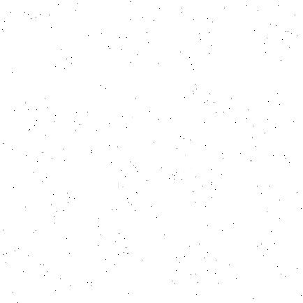 CC(C)(C)c1cccc(-c2cc(OC(F)(F)F)ccc2Cl)n1